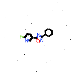 Fc1ccc(-c2nc(C3CCCCC3)no2)cn1